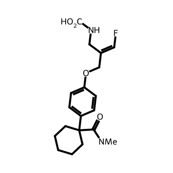 CNC(=O)C1(c2ccc(OCC(=CF)CNC(=O)O)cc2)CCCCC1